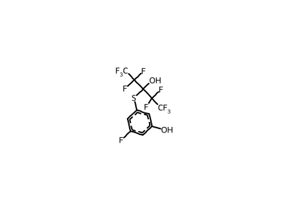 Oc1cc(F)cc(SC(O)(C(F)(F)C(F)(F)F)C(F)(F)C(F)(F)F)c1